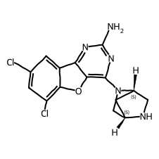 Nc1nc(N2C[C@@H]3C[C@H]2CN3)c2oc3c(Cl)cc(Cl)cc3c2n1